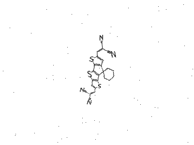 N#CC(C#N)=Cc1cc2c(s1)-c1sc3cc(C=C(C#N)C#N)sc3c1C21CCCCC1